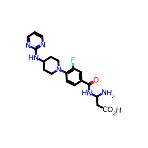 NC(CC(=O)O)NC(=O)c1ccc(N2CCC(Nc3ncccn3)CC2)c(F)c1